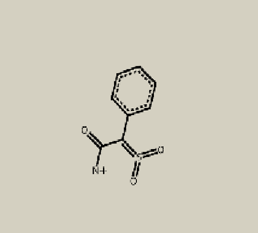 [NH]C(=O)C(c1ccccc1)=S(=O)=O